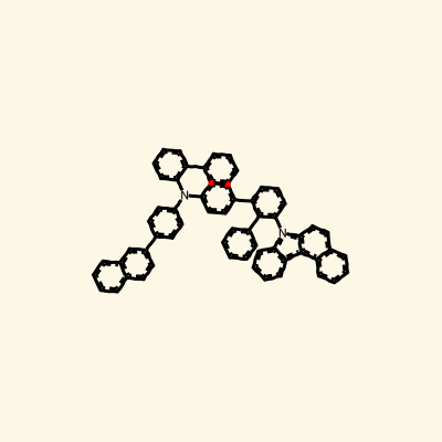 c1ccc(-c2ccccc2N(c2ccc(-c3ccc4ccccc4c3)cc2)c2ccc(-c3cccc(-n4c5ccccc5c5c6ccccc6ccc54)c3-c3ccccc3)cc2)cc1